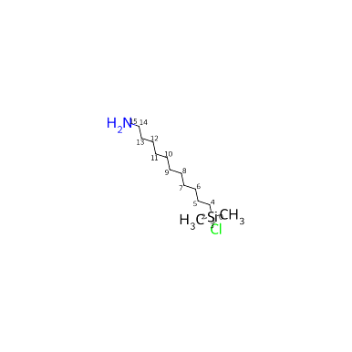 C[Si](C)(Cl)CCCCCCCCCCCN